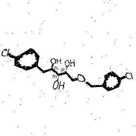 O[C@@H]([C@H](O)COCc1ccc(Cl)cc1)[C@H](O)Cc1ccc(Cl)cc1